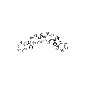 O=C(OC1CCCCC1)C1CCC(SC2CCC(C(=O)OC3CCCCC3)CC2)CC1